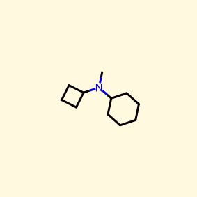 CN(C1C[CH]C1)C1CCCCC1